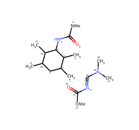 CNC(=O)NC1C(C)C(C)CC(C)C1C.COC(=O)N=CN(C)C